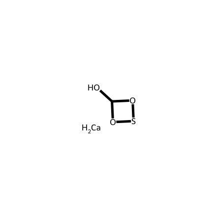 OC1OSO1.[CaH2]